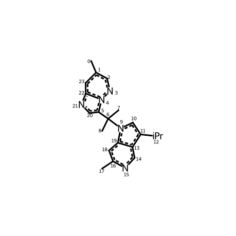 Cc1cnn2c(C(C)(C)n3cc(C(C)C)c4cnc(C)cc43)cnc2c1